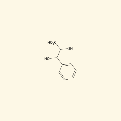 O=C(O)C(S)C(O)c1ccccc1